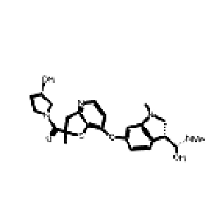 CN[C@H](O)[C@H]1CN(C)c2cc(Oc3ccnc4c3SC(C)(C(=O)N3CC[C@@H](O)C3)C4)ccc21